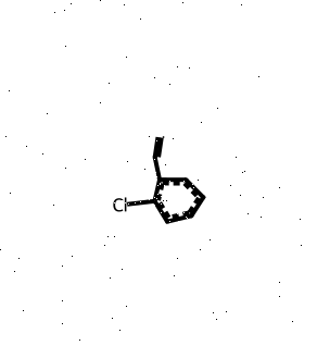 [CH]=Cc1ccccc1Cl